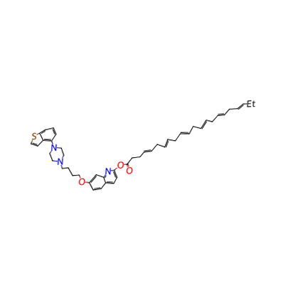 CCC=CCC=CCC=CCC=CCC=CCC=CCCC(=O)Oc1ccc2ccc(OCCCCN3CCN(c4cccc5sccc45)CC3)cc2n1